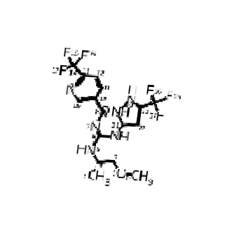 COC[C@H](C)N/C(=N/C(=O)c1ccc(C(F)(F)F)nc1)NC1CC(C(F)(F)F)NN1